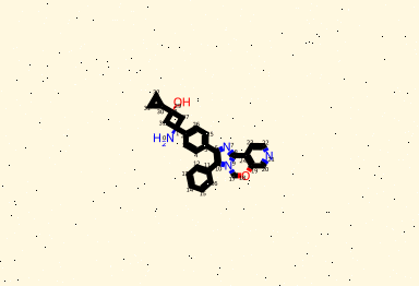 N[C@]1(c2ccc(-c3nc4n(c3-c3ccccc3)COc3cnccc3-4)cc2)C[C@](O)(C2CC2)C1